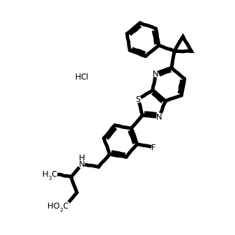 CC(CC(=O)O)NCc1ccc(-c2nc3ccc(C4(c5ccccc5)CC4)nc3s2)c(F)c1.Cl